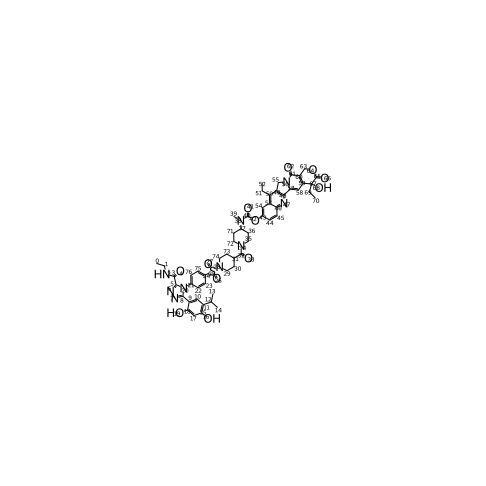 CCNC(=O)c1nnc(-c2cc(C(C)C)c(O)cc2O)n1-c1ccc(S(=O)(=O)N2CCC(C(=O)N3CCC(N(C)C(=O)Oc4ccc5nc6c(c(CC)c5c4)Cn4c-6cc5c(c4=O)COC(=O)C5(O)CC)CC3)CC2)cc1